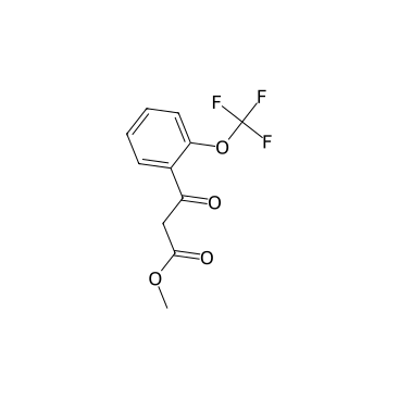 COC(=O)CC(=O)c1ccccc1OC(F)(F)F